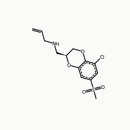 C=CCNC[C@H]1COc2c(Cl)cc(S(C)(=O)=O)cc2O1